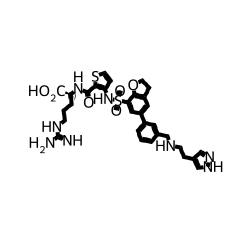 N=C(N)NCCC[C@H](NC(=O)c1sccc1NS(=O)(=O)c1cc(-c2cccc(CNCCc3cn[nH]c3)c2)cc2c1OCC2)C(=O)O